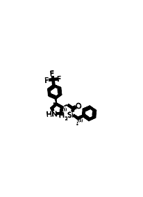 C[C@H]([SiH2]C(=O)C[C@@H]1CNC[C@H]1c1ccc(C(F)(F)F)cc1)c1ccccc1